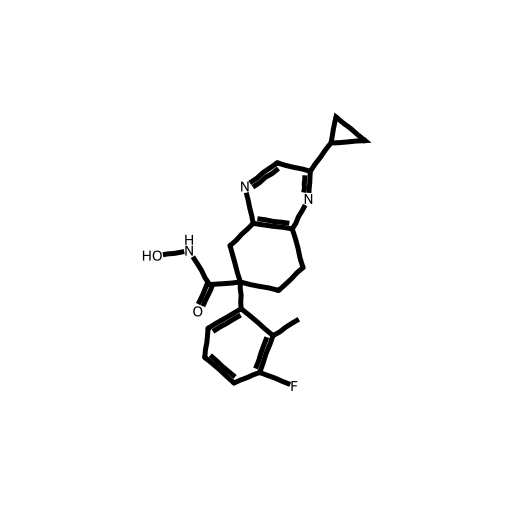 Cc1c(F)cccc1C1(C(=O)NO)CCc2nc(C3CC3)cnc2C1